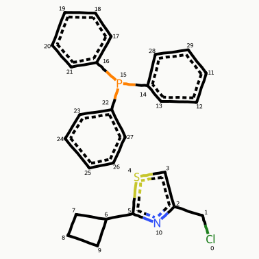 ClCc1csc(C2CCC2)n1.c1ccc(P(c2ccccc2)c2ccccc2)cc1